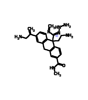 C=N/C(=N\NN)C1(CCN)c2ccc(C(=C)CN)cc2Cc2cc(C(=O)NC)ccc21